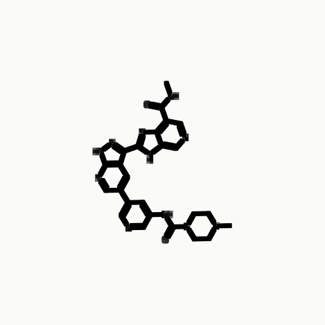 CNC(=O)c1cncc2[nH]c(-c3n[nH]c4ncc(-c5cncc(NC(=O)N6CCN(C)CC6)c5)cc34)nc12